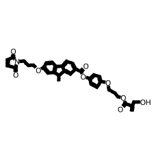 C=C(CO)C(=O)OCCCOc1ccc(OC(=O)c2ccc3c(c2)C(C)c2cc(OCCCN4C(=O)C=CC4=O)ccc2-3)cc1